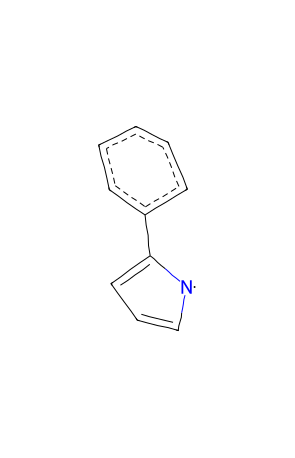 C1=C[N]C(c2ccccc2)=C1